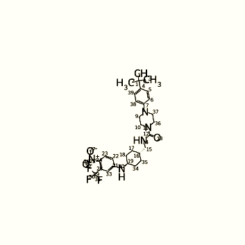 CC(C)(C)c1ccc(N2CCN(C(=O)NC[C@H]3CC[C@H](Nc4ccc([N+](=O)[O-])c(C(F)(F)F)c4)CC3)CC2)cc1